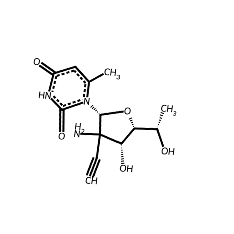 C#CC1(N)[C@@H](O)[C@@H]([C@H](C)O)O[C@H]1n1c(C)cc(=O)[nH]c1=O